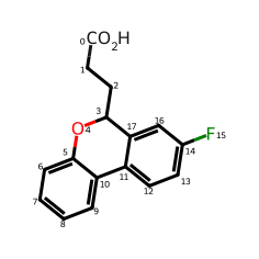 O=C(O)CCC1Oc2ccccc2-c2ccc(F)cc21